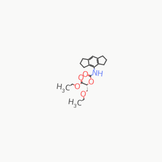 CCOC[C@@H](OC(=O)Nc1c2c(cc3c1CCC3)CCC2)C(=O)OCC